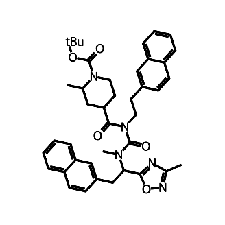 Cc1noc(C(Cc2ccc3ccccc3c2)N(C)C(=O)N(CCc2ccc3ccccc3c2)C(=O)C2CCN(C(=O)OC(C)(C)C)C(C)C2)n1